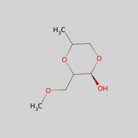 COCC1OC(C)CO[C@H]1O